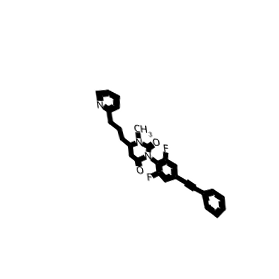 CN1C(=O)N(c2c(F)cc(C#Cc3ccccc3)cc2F)C(=O)CC1CCCc1ccccn1